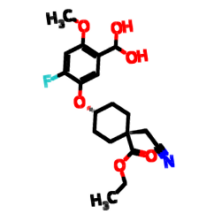 CCOC(=O)[C@]1(CC#N)CC[C@H](Oc2cc(C(O)O)c(OC)cc2F)CC1